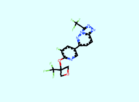 Fc1cc(-c2ccc3nnc(C(F)(F)F)n3n2)cnc1OC1(C(F)(F)F)COC1